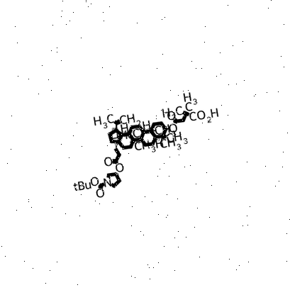 C=C(C)[C@@H]1CC[C@]2(CCC(=O)OC3CCN(C(=O)OC(C)(C)C)C3)CC[C@]3(C)[C@H](CC[C@@H]4[C@@]5(C)CC[C@H](OC(=O)CC(C)(C)C(=O)O)C(C)(C)[C@@H]5CC[C@]43C)[C@@H]12